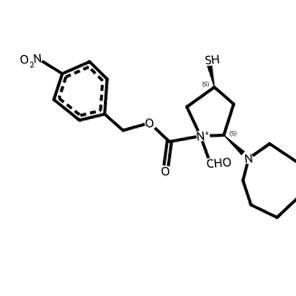 O=C[N+]1(C(=O)OCc2ccc([N+](=O)[O-])cc2)C[C@@H](S)C[C@H]1N1CCCCCC1